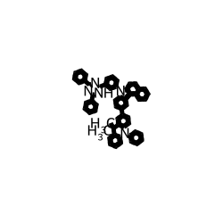 CC1(C)c2ccccc2N(c2ccccc2)c2ccc(-c3ccc4c(c3)c3c5ccccc5ccc3n4-c3cccc(C4N=C(c5ccccc5)N=C(c5ccccc5)N4)c3)cc21